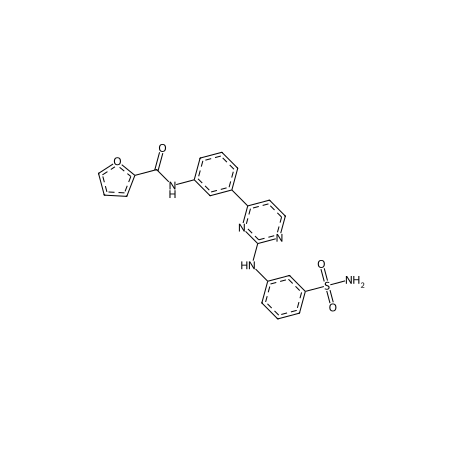 NS(=O)(=O)c1cccc(Nc2nccc(-c3cccc(NC(=O)c4ccco4)c3)n2)c1